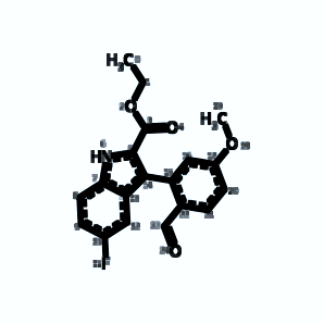 CCOC(=O)c1[nH]c2ccc(F)cc2c1-c1cc(OC)ccc1C=O